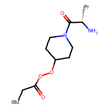 CC(C)[C@H](N)C(=O)N1CCC(OOC(=O)CC(C)(C)C)CC1